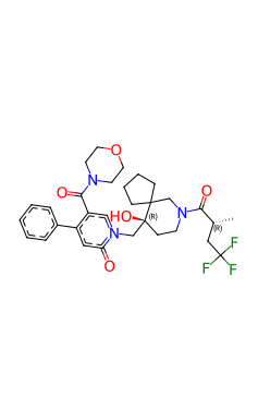 C[C@H](CC(F)(F)F)C(=O)N1CC[C@](O)(Cn2cc(C(=O)N3CCOCC3)c(-c3ccccc3)cc2=O)C2(CCCC2)C1